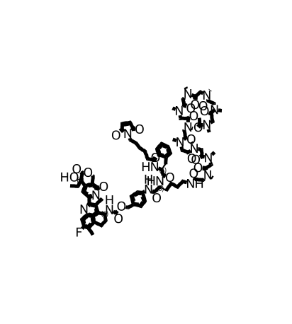 CC[C@@]1(O)C(=O)OCc2c1cc1n(c2=O)Cc2c-1nc1cc(F)c(C)c3c1c2[C@@H](NC(=O)OCc1ccc(NC(=O)[C@H](CCCCNC(=O)CN(C)C(=O)CN(C)C(=O)CN(C)C(=O)CN(C)C(=O)CN(C)C(=O)CN(C)C(=O)CN(C)C(=O)CN(C)C(=O)CN(C)C(=O)CN(C)C(C)=O)NC(=O)[C@H](Cc2ccccc2)NC(=O)CCCCCN2C(=O)C=CC2=O)cc1)CC3